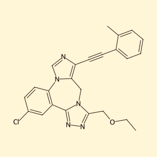 CCOCc1nnc2n1Cc1c(C#Cc3ccccc3C)ncn1-c1ccc(Cl)cc1-2